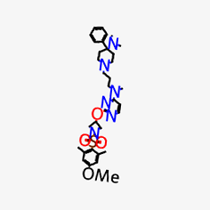 COc1cc(C)c(S(=O)(=O)N2CC(Oc3nccc(N(C)CCCN4CCC(c5ccccc5)(N(C)C)CC4)n3)C2)c(C)c1